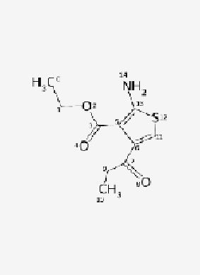 CCOC(=O)c1c(C(=O)CC)csc1N